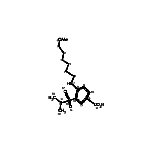 COCCCCCCNc1ccc(C(=O)O)cc1S(=O)(=O)N(C)C